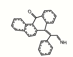 N=C/C(=C1\c2ccccc2C(=O)c2c1ccc1ccccc21)c1ccccc1